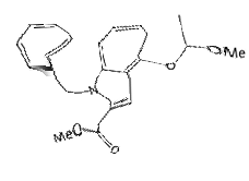 COC(=O)c1cc2c(OC(C)OC)cccc2n1Cc1ccccc1